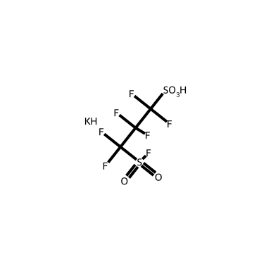 O=S(=O)(O)C(F)(F)C(F)(F)C(F)(F)S(=O)(=O)F.[KH]